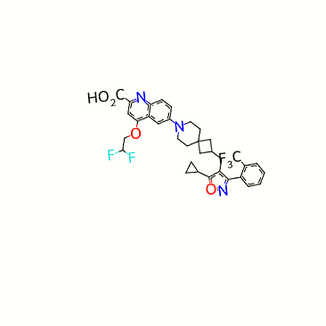 O=C(O)c1cc(OCC(F)F)c2cc(N3CCC4(CC3)CC(Cc3c(-c5ccccc5C(F)(F)F)noc3C3CC3)C4)ccc2n1